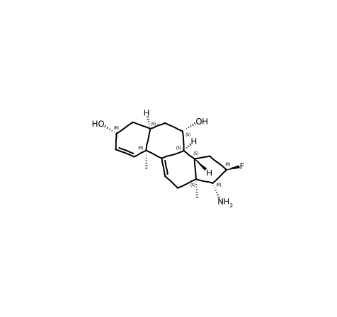 C[C@]12CC=C3[C@@H]([C@@H](O)C[C@@H]4C[C@@H](O)C=C[C@]34C)[C@@H]1C[C@@H](F)[C@@H]2N